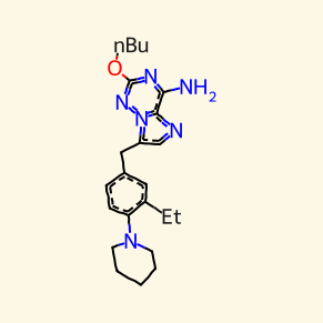 CCCCOc1nc(N)c2ncc(Cc3ccc(N4CCCCC4)c(CC)c3)n2n1